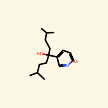 Br.CC(C)CCC(O)(CCC(C)C)c1cccnc1